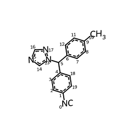 [C-]#[N+]c1ccc(C(c2ccc(C)cc2)n2cncn2)cc1